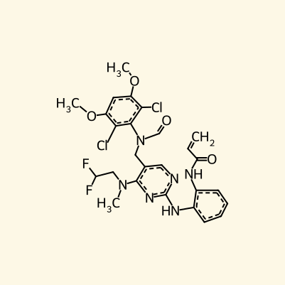 C=CC(=O)Nc1ccccc1Nc1ncc(CN(C=O)c2c(Cl)c(OC)cc(OC)c2Cl)c(N(C)CC(F)F)n1